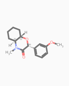 COc1cccc([C@H]2O[C@H]3CCCC[C@@H]3N(C)C2=O)c1